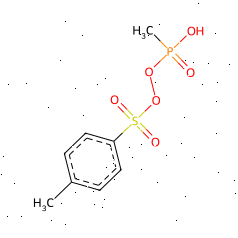 Cc1ccc(S(=O)(=O)OOP(C)(=O)O)cc1